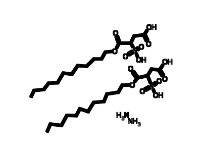 CCCCCCCCCCCCOC(=O)C(CC(=O)O)S(=O)(=O)O.CCCCCCCCCCCCOC(=O)C(CC(=O)O)S(=O)(=O)O.N.N